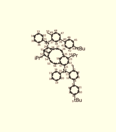 Cc1ccc(-c2ccc(C(C)(C)C)cc2)cc1N(c1ccccc1)c1cc(C(C)C)c2ccc3c(N(c4ccccc4)c4cc(-c5ccc(C(C)(C)C)cc5)ccc4C)cc(C(C)C)c(ccc1c2)c3C